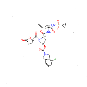 C=C[C@@H]1C[C@]1(NC(=O)[C@@H]1C[C@@H](OC(=O)N2Cc3cccc(F)c3C2)CN1C(=O)[C@H]1CCC(=O)O1)C(=O)NS(=O)(=O)C1CC1